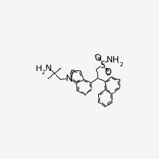 CC(C)(N)Cn1ccc2c(C(CS(N)(=O)=O)c3cccc4ccccc34)cccc21